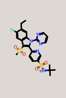 CCc1cc2c(cc1F)c(S(C)(=O)=O)c(-c1ccc(S(=O)(=O)NC(C)(C)C)cn1)n2-c1ncccn1